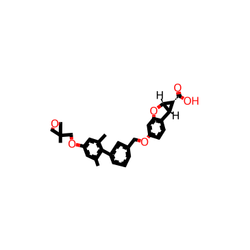 Cc1cc(OCC2(C)COC2)cc(C)c1-c1cccc(COc2ccc3c(c2)O[C@H]2[C@H](C(=O)O)[C@@H]32)c1